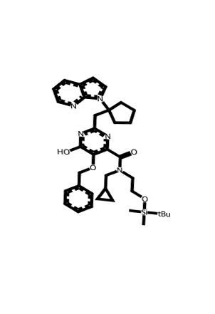 CC(C)(C)[Si](C)(C)OCCN(CC1CC1)C(=O)c1nc(CC2(n3ccc4cccnc43)CCCC2)nc(O)c1OCc1ccccc1